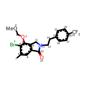 COCOc1c(Br)c(C)cc2c1CN(CCc1ccc(C(F)(F)F)cc1)C2=O